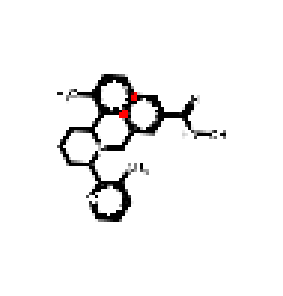 Cc1cccnc1C1CCCC(c2ncccc2C)N1Cc1cccc(C(=N)NO)c1